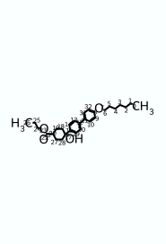 CCCCCCCOc1ccc(-c2ccc(C3(O)CCC(C(=O)OCCC)CC3)cc2)cc1